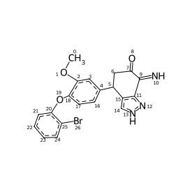 COc1cc(C2CC(=O)C(=N)c3n[nH]cc32)ccc1Oc1ccccc1Br